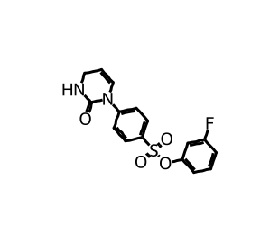 O=C1NCC=CN1c1ccc(S(=O)(=O)Oc2cccc(F)c2)cc1